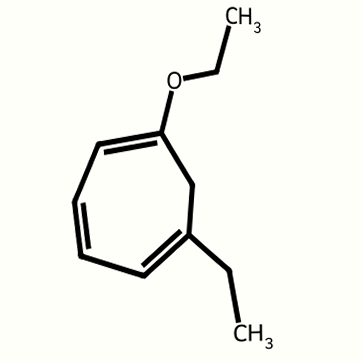 CCOC1=CC=CC=C(CC)C1